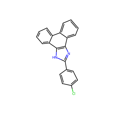 Clc1ccc(-c2nc3c4ccccc4c4ccccc4c3[nH]2)cc1